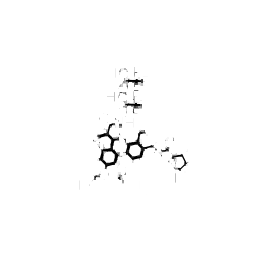 CCOc1cc2ncc(C(N)=O)c(Nc3cccc(CNC(=O)[C@@H]4CCCN4)c3CC)c2cc1OCC.O=C(O)C(F)(F)F.O=C(O)C(F)(F)F